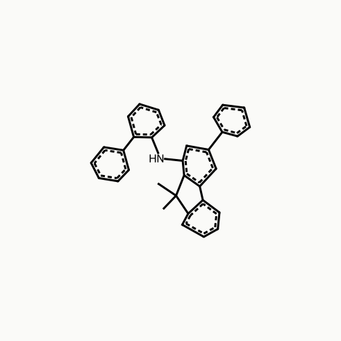 CC1(C)c2ccccc2-c2cc(-c3ccccc3)cc(Nc3ccccc3-c3ccccc3)c21